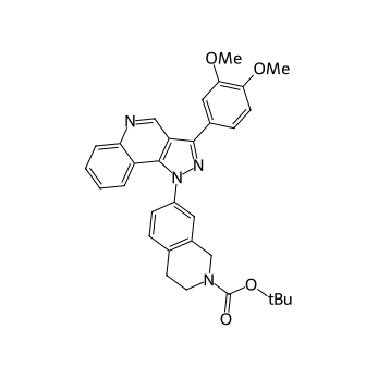 COc1ccc(-c2nn(-c3ccc4c(c3)CN(C(=O)OC(C)(C)C)CC4)c3c2cnc2ccccc23)cc1OC